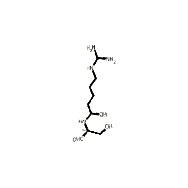 NC(N)NCCCCC(O)N[C@H](C=O)CO